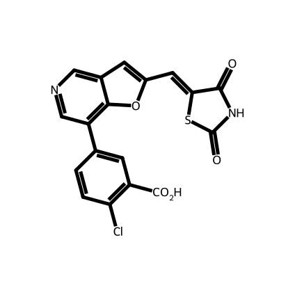 O=C1NC(=O)C(=Cc2cc3cncc(-c4ccc(Cl)c(C(=O)O)c4)c3o2)S1